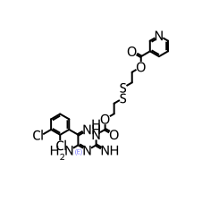 N=C(/N=C(/N)C(=N)c1cccc(Cl)c1Cl)NC(=O)OCCSSCCOC(=O)c1cccnc1